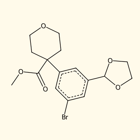 COC(=O)C1(c2cc(Br)cc(C3OCCO3)c2)CCOCC1